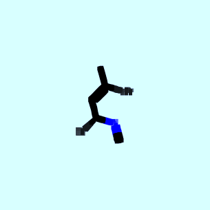 C=N[C@H](/C=C(/C)CCC)CC